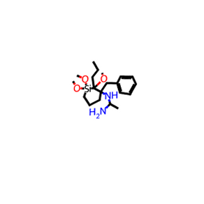 CCCC1(OC)C(Cc2ccccc2)(NC(C)N)CCC[Si]1(OC)OC